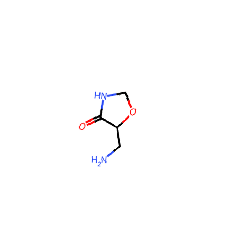 NCC1OCNC1=O